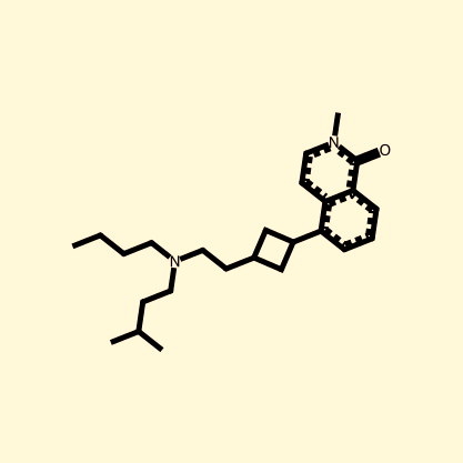 CCCCN(CCC(C)C)CCC1CC(c2cccc3c(=O)n(C)ccc23)C1